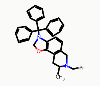 CC(C)CN1Cc2ccc3c(c2CC1C)OCN3C(c1ccccc1)(c1ccccc1)c1ccccc1